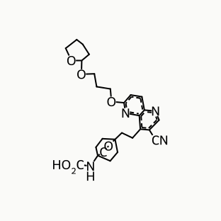 N#Cc1cnc2ccc(OCCCOC3CCCCO3)nc2c1CCC12CCC(NC(=O)O)(CC1)CO2